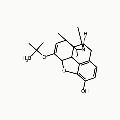 BC(C)(C)OC1=CCC2[C@H]3Cc4ccc(O)c5c4[C@@]2(CC(C)N3C)C1O5